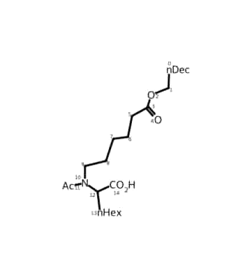 CCCCCCCCCCCOC(=O)CCCCCN(C(C)=O)C(CCCCCC)C(=O)O